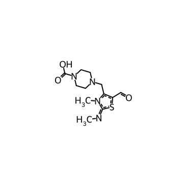 CN=c1sc(C=O)c(CN2CCN(C(=O)O)CC2)n1C